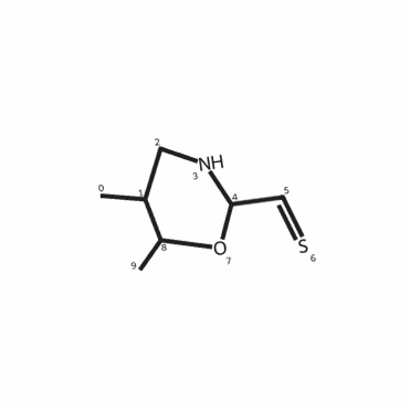 CC1CNC(C=S)OC1C